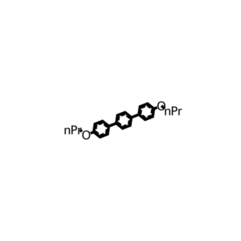 CCCOc1ccc(-c2ccc(-c3ccc(OCCC)cc3)cc2)cc1